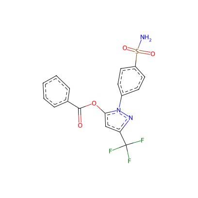 NS(=O)(=O)c1ccc(-n2nc(C(F)(F)F)cc2OC(=O)c2ccccc2)cc1